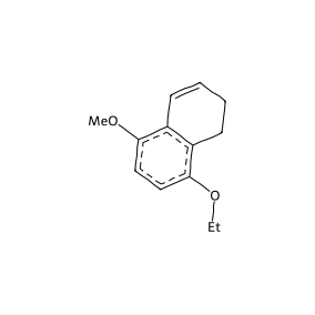 CCOc1ccc(OC)c2c1CCC=C2